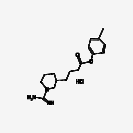 Cc1ccc(OC(=O)CCCC2CCCN(C(=N)N)C2)cc1.Cl